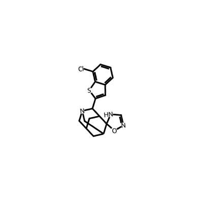 Clc1cccc2cc(C3C4CC5CC(CN3C5)C43NC=NO3)sc12